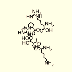 C[C@@H](OC(=O)[C@@H](N)CCCCN)[C@H](N)C(=O)O.N=C(N)NCCC[C@H](N)C(=O)O.O=C(O)[C@@H]1CCCN1.O=C(O)[C@@H]1CCCN1